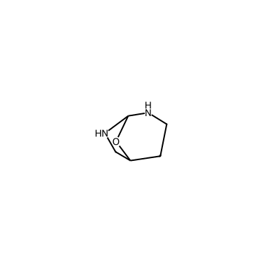 C1CC2CNC(N1)O2